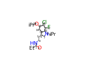 CCC(=O)NCCc1cn(C(C)C)c2c(F)c(Cl)c(OC(C)C)cc12